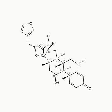 C[C@]12C=CC(=O)C=C1[C@@H](F)C[C@H]1[C@@H]3C[C@H]4CN(Cc5ccoc5)O[C@@]4(C(=O)CCl)[C@@]3(C)C[C@H](O)[C@@]12F